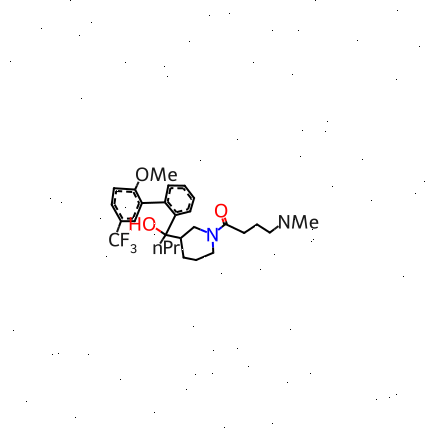 [CH2]CCC(O)(c1ccccc1-c1cc(C(F)(F)F)ccc1OC)C1CCCN(C(=O)CCCNC)C1